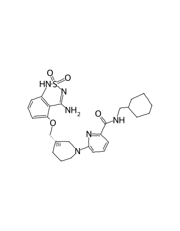 NC1=NS(=O)(=O)Nc2cccc(OC[C@H]3CCCN(c4cccc(C(=O)NCC5CCCCC5)n4)C3)c21